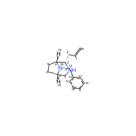 C=CC[C@@H]1NC[C@@H]2CC[C@H]1N2Cc1ccccc1